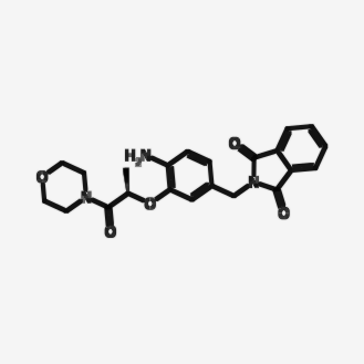 C[C@@H](Oc1cc(CN2C(=O)c3ccccc3C2=O)ccc1N)C(=O)N1CCOCC1